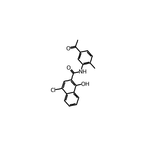 CC(=O)c1ccc(C)c(NC(=O)c2cc(Cl)c3ccccc3c2O)c1